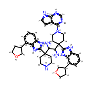 NC(C(N)C1(c2nc3c(C4CCOC4)cccc3[nH]2)CCN(c2ncnc3[nH]ccc23)CC1)C1(c2nc3c(C4CCOC4)cccc3[nH]2)CCNCC1